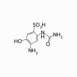 NC(=O)Nc1cc(N)c(O)cc1S(=O)(=O)O